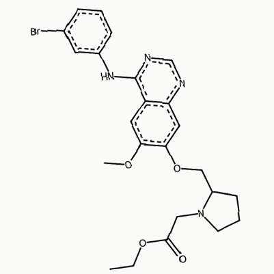 CCOC(=O)CN1CCCC1COc1cc2ncnc(Nc3cccc(Br)c3)c2cc1OC